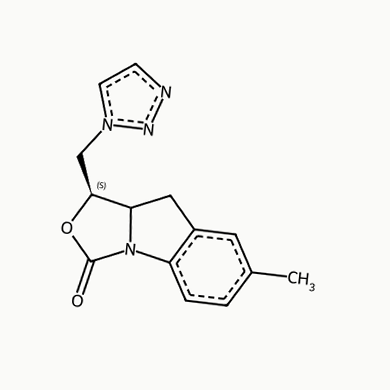 Cc1ccc2c(c1)CC1[C@H](Cn3ccnn3)OC(=O)N21